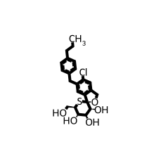 CCCc1ccc(Cc2cc3c(cc2Cl)CO[C@]32S[C@H](CO)[C@@H](O)[C@H](O)[C@H]2O)cc1